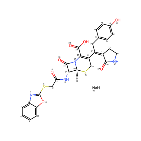 O=C(CSc1nc2ccccc2o1)N[C@@H]1C(=O)N2C(C(=O)O)=C(C(Cc3ccc(O)cc3)=C3CCNC3=O)CS[C@H]12.[NaH]